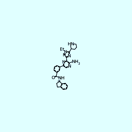 CCn1nc(-c2nc(-c3cccc(C(=O)N[C@H]4CCc5ccccc54)c3)cnc2N)nc1C1CCCNC1